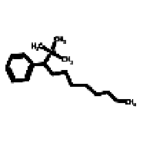 CCCCCCCCC(c1ccccc1)[N+](C)(C)C